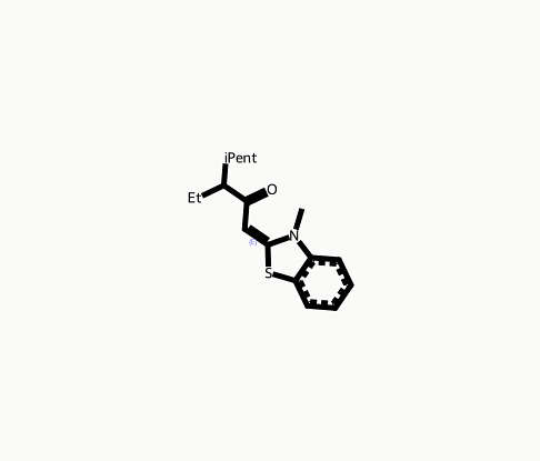 CCCC(C)C(CC)C(=O)/C=C1/Sc2ccccc2N1C